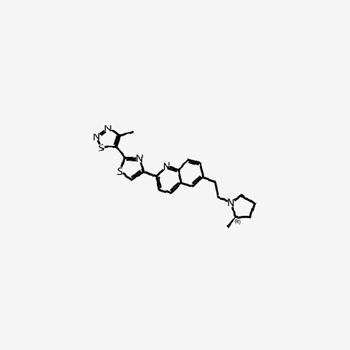 Cc1nnsc1-c1nc(-c2ccc3cc(CCN4CCC[C@H]4C)ccc3n2)cs1